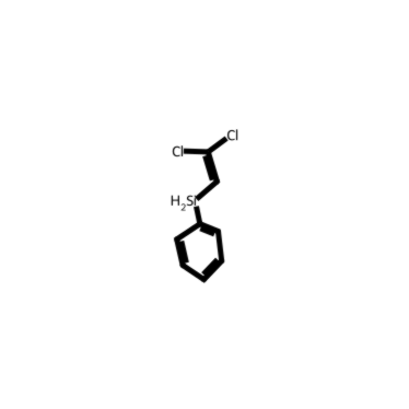 ClC(Cl)=C[SiH2]c1ccccc1